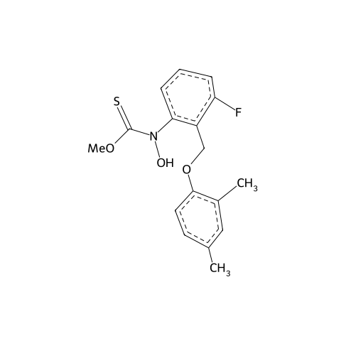 COC(=S)N(O)c1cccc(F)c1COc1ccc(C)cc1C